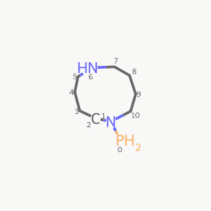 PN1CCCCNCCCC1